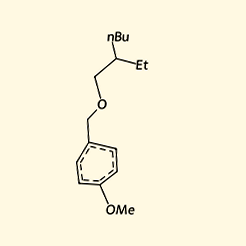 CCCCC(CC)COCc1ccc(OC)cc1